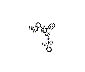 O=C(/C=C/c1cc2nc(-c3cccc4[nH]ncc34)nc(N3CCOCC3)c2s1)Nc1ccccc1